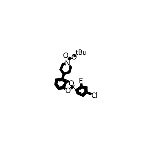 CC(C)(C)OC(=O)N1CCC(c2cccc3c2O[C@H](c2ccc(Cl)cc2F)O3)CC1